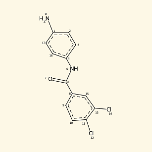 Nc1ccc(NC(=O)c2ccc(Cl)c(Cl)c2)cc1